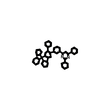 c1ccc(-c2cc(-c3cccc(-c4cc5c(cc4-c4ccccc4)C(c4ccccc4)(c4ccccc4)c4ccccc4-5)c3)nc(-c3ccccc3)n2)cc1